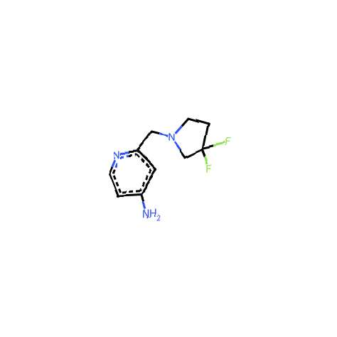 Nc1ccnc(CN2CCC(F)(F)C2)c1